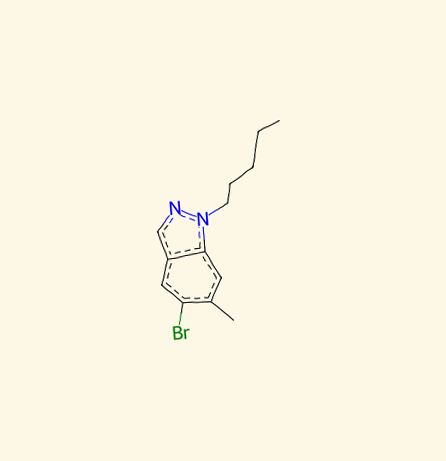 CCCCCn1ncc2cc(Br)c(C)cc21